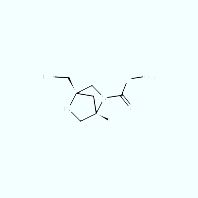 CC(C)(C)OC(=O)N1C[C@]2(CO)C[C@H]1CN2